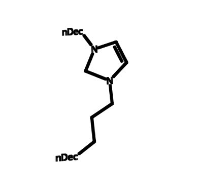 CCCCCCCCCCCCCN1C=CN(CCCCCCCCCC)C1